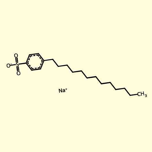 CCCCCCCCCCCCCc1ccc(S(=O)(=O)[O-])cc1.[Na+]